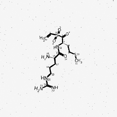 C=CS(=O)(=O)C(=O)[C@H](CCSC)NC(=O)[C@@H](N)CCCNC(=N)N